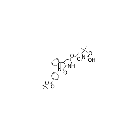 CC(C)(C)OC(=O)c1ccc(NC(=O)C2NCC(OC3CCN(C(=O)O)C(C(C)(C)C)C3)CC2c2ccccc2)cc1